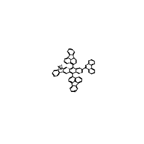 C[Si]1(C)c2ccccc2-c2cc3c(-c4ccc5c6c(cccc46)-c4ccccc4-5)c4ccc(-c5cc6ccccc6c6ccccc56)cc4c(C4=C5C=CC=C6c7ccccc7C(C=C4)C65)c3cc21